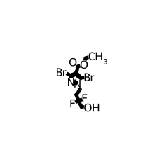 CCOC(=O)c1c(Br)nn(CCC(F)(F)CO)c1Br